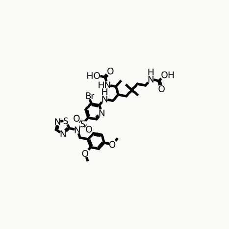 COc1ccc(CN(c2ncns2)S(=O)(=O)c2cnc(NCC(CC(C)(C)CCNC(=O)O)C(C)NC(=O)O)c(Br)c2)c(OC)c1